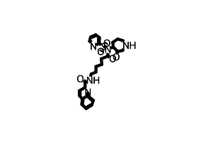 O=C(NCCCCCC(=O)N(C1CCCNCC1=O)S(=O)(=O)c1ccccn1)c1ccc2ccccc2n1